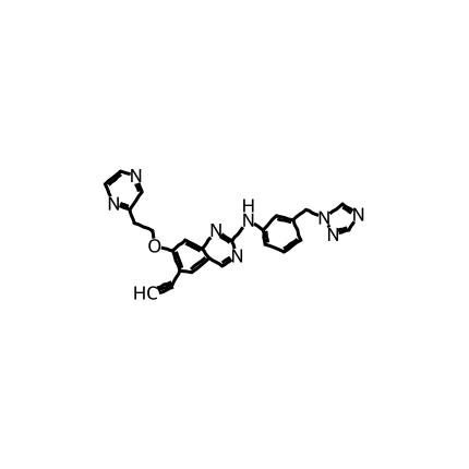 C#Cc1cc2cnc(Nc3cccc(Cn4cncn4)c3)nc2cc1OCCc1cnccn1